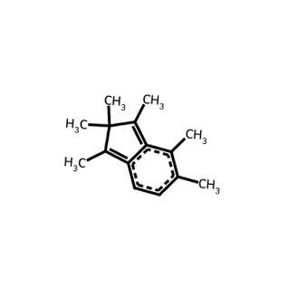 CC1=c2ccc(C)c(C)c2=C(C)C1(C)C